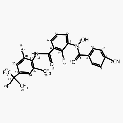 N#Cc1ccc(C(=O)N(O)c2cccc(C(=O)Nc3c(Br)cc(C(F)(C(F)(F)F)C(F)(F)F)cc3C(F)(F)F)c2F)cc1